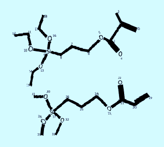 C=C(C)C(=O)OCCC[Si](OCC)(OCC)OCC.C=CC(=O)OCCC[Si](OC)(OC)OC